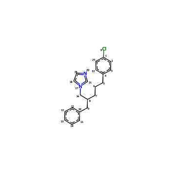 Clc1ccc(CCCC(Cc2ccccc2)Cn2ccnc2)cc1